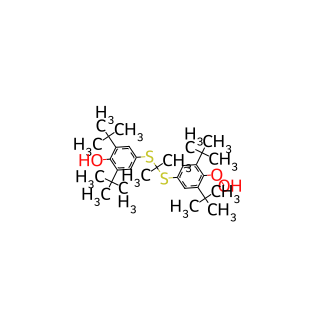 CC(C)(Sc1cc(C(C)(C)C)c(O)c(C(C)(C)C)c1)Sc1cc(C(C)(C)C)c(OO)c(C(C)(C)C)c1